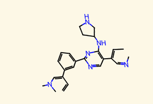 C=C/C(=C\N(C)C)c1cccc(-c2ncc(C(/C=N\C)=C/C)c(NC3CCNC3)n2)c1